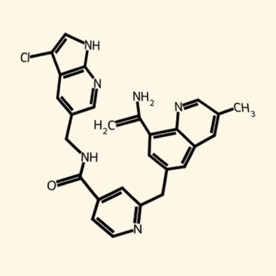 C=C(N)c1cc(Cc2cc(C(=O)NCc3cnc4[nH]cc(Cl)c4c3)ccn2)cc2cc(C)cnc12